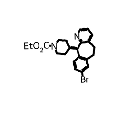 CCOC(=O)N1CCC(=C2c3ccc(Br)cc3CCc3cccnc32)CC1